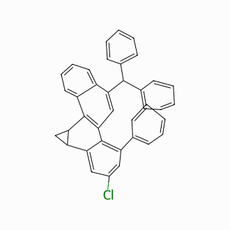 Clc1cc(-c2ccccc2)c2c(c1)C1CC1c1c-2cc(C(c2ccccc2)c2ccccc2)c2ccccc12